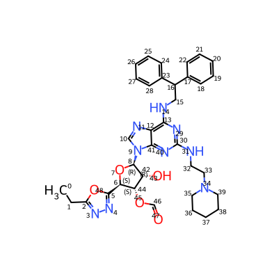 CCc1nnc([C@H]2O[C@@H](n3cnc4c(NCC(c5ccccc5)c5ccccc5)nc(NCCN5CCCCC5)nc43)[C@H](O)[C@@H]2OC=O)o1